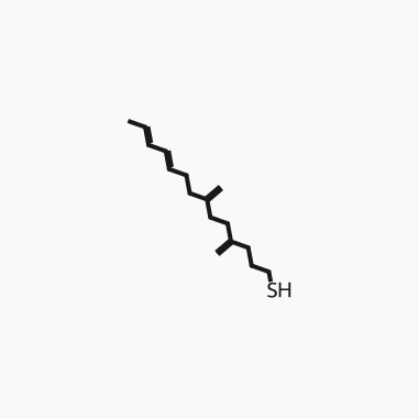 C=C(CC/C=C/C=C/C)CCC(=C)CCCS